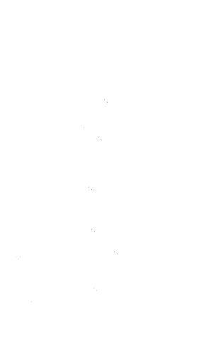 COC[C@@H](C)Oc1cc(N2CCN(C(=O)Cn3nc(-c4ccc(F)cc4)nc3-c3ccc(F)cc3)CC2)ncn1